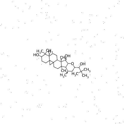 C[C@@H]1CC(C(O)C(C)(C)C)OC2C1C1(C)CCC34CC35CCC(O)C(C)(C)[C@@H]5CCC4[C@]1(C)[C@H]2O